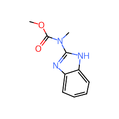 COC(=O)N(C)c1nc2ccccc2[nH]1